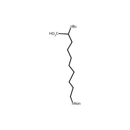 CCCCCCCCCCCCCCCCCC(CCCC)C(=O)O